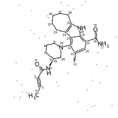 CC#CC(=O)N[C@H]1CCCN(c2c(F)cc(C(N)=O)c3[nH]c4c(c23)CCCCC4)C1